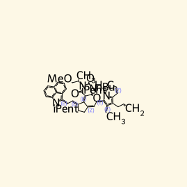 C=CCc1c(/C=C\C)n(C(C)CCC)c(=C/C=C2/CCC(=C\C=c3/c4cccc5cccc(c54)n3C(C)CCC)/C2=C2/C(=O)N(CCCC)C(=O)N(C(C)COC)C2=O)/c1=C/C